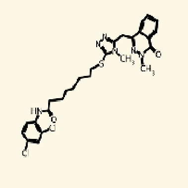 Cn1c(Cc2nn(C)c(=O)c3ccccc23)nnc1SCCCCCCCC(=O)Nc1ccc(Cl)cc1Cl